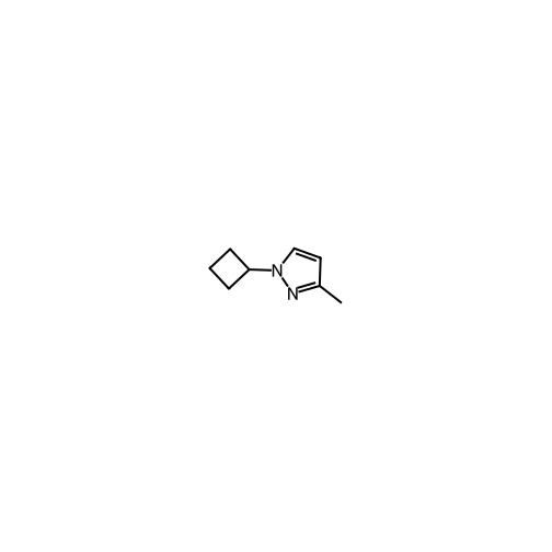 Cc1ccn(C2CCC2)n1